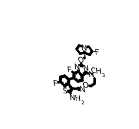 CN1CCCOc2cc(-c3ccc(F)c4sc(N)c(C#N)c34)c(F)c3nc(OC[C@@]45CCCN4C[C@H](F)C5)nc1c23